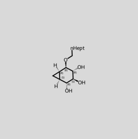 CCCCCCCCO[C@H]1[C@H](O)[C@@H](O)[C@H](O)[C@H]2C[C@H]21